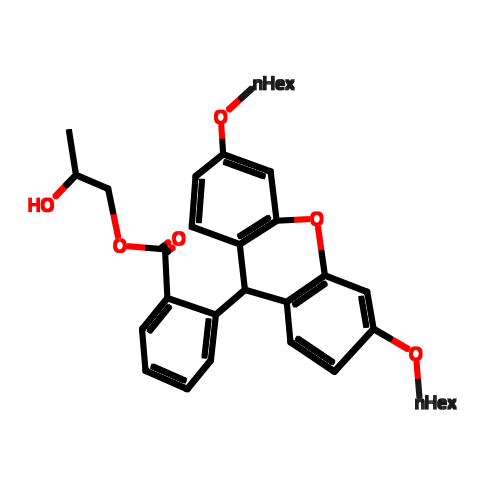 CCCCCCOc1ccc2c(c1)Oc1cc(OCCCCCC)ccc1C2c1ccccc1C(=O)OCC(C)O